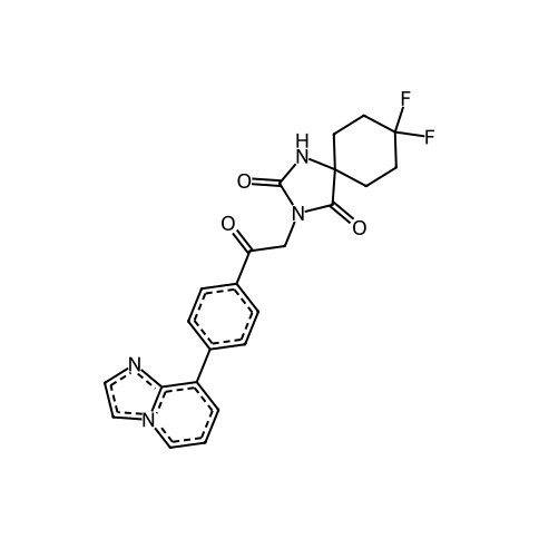 O=C(CN1C(=O)NC2(CCC(F)(F)CC2)C1=O)c1ccc(-c2cccn3ccnc23)cc1